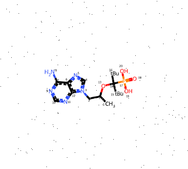 CC(Cn1cnc2c(N)ncnc21)OC(C(C)(C)C)(C(C)(C)C)P(=O)(O)O